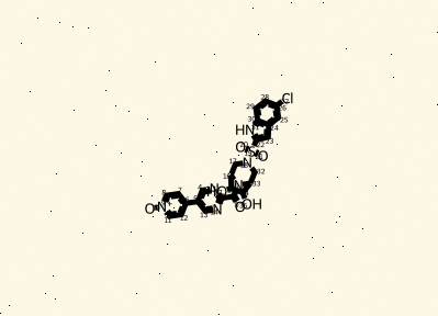 O=C(c1ncc(-c2cc[n+]([O-])cc2)cn1)N1C2CN(S(=O)(=O)c3cc4cc(Cl)ccc4[nH]3)CC1C(O)C2O